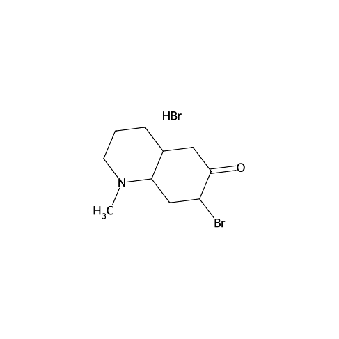 Br.CN1CCCC2CC(=O)C(Br)CC21